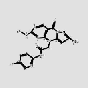 CC(C)Nc1ncc2c(=O)n3nc(C(C)(C)C)cc3n(CC(=O)Nc3ccc(F)cn3)c2n1